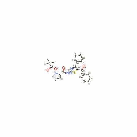 CC(C)(C)C(=O)ON1CCC[C@H]1C(=O)Nc1nc(-c2ccccc2)c(C(=O)c2ccccc2)s1